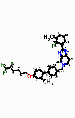 Cc1cc(OCCCCC(F)=C(F)F)ccc1-c1ccc(Cn2ccc3nc(-c4cccc(C)c4F)nc-3c2)cc1